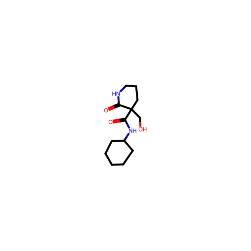 O=C1NCCCC1(CO)C(=O)NC1CCCCC1